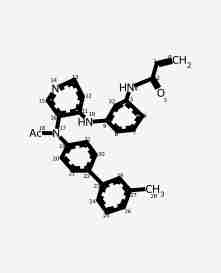 C=CC(=O)Nc1cccc(Nc2ccncc2N(C(C)=O)c2ccc(-c3cccc(C)c3)cc2)c1